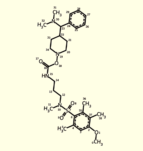 COc1cc(C)c(S(=O)(=O)N(C)CCCNC(=O)ON2CCC(C(c3ccccc3)N(C)C)CC2)c(C)c1C